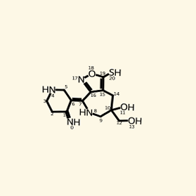 N=C1CCNC/C1=C1/NCC(O)(CO)Cc2c1noc2S